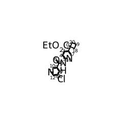 CCOC(=O)C1(c2ccc(NC(=O)c3cncc(Cl)c3)nc2)CCC1